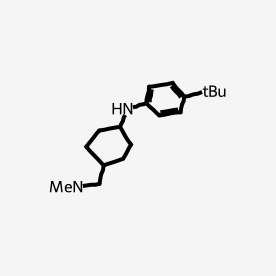 CNCC1CCC(Nc2ccc(C(C)(C)C)cc2)CC1